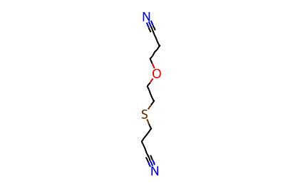 N#CCCOCCSCCC#N